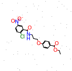 CCOC(=O)c1ccc(OCCCNC(=O)c2cc([N+](=O)[O-])ccc2Cl)cc1